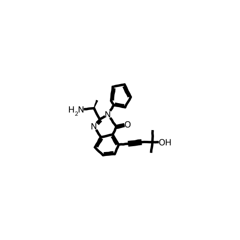 C[C@H](N)c1nc2cccc(C#CC(C)(C)O)c2c(=O)n1-c1ccccc1